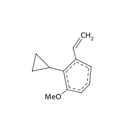 C=Cc1cccc(OC)c1C1CC1